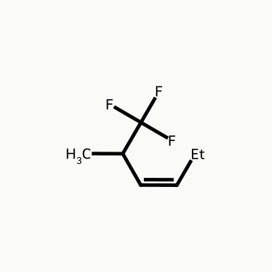 CC/C=C\C(C)C(F)(F)F